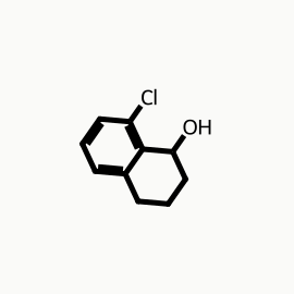 OC1CCCc2cccc(Cl)c21